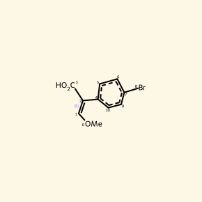 CO/C=C(/C(=O)O)c1ccc(Br)cc1